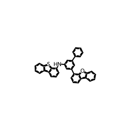 c1ccc(-c2cc(Nc3cccc4c3sc3ccccc34)cc(-c3cccc4c3oc3ccccc34)c2)cc1